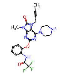 CC#CCn1c(=O)n(C)c2nc(Oc3ccccc3NC(=O)C(F)(F)F)nc(N3CCNCC3)c21